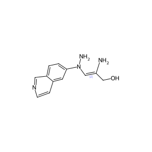 N/C(=C\N(N)c1ccc2cnccc2c1)CO